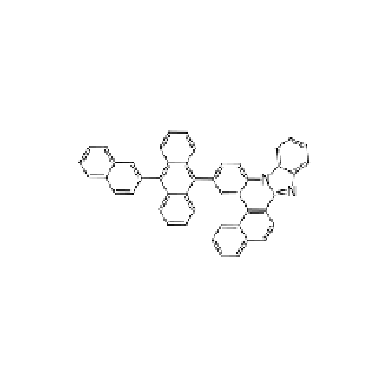 c1ccc2cc(-c3c4ccccc4c(-c4ccc5c(c4)c4c6ccccc6ccc4c4nc6ccccc6n54)c4ccccc34)ccc2c1